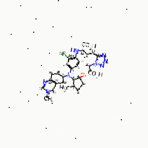 CC1CCC(=O)C1N(c1ccc(N[C@@H](CCc2nnnn2CC(=O)O)C(=O)O)c(F)c1)C1CCC2=C(C1)CN(C)C=N2